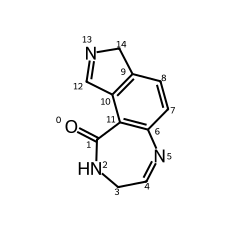 O=C1NCC=Nc2ccc3c(c21)C=NC3